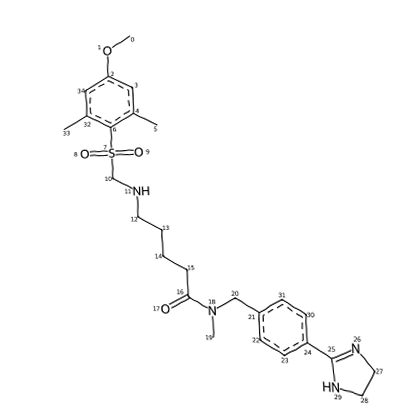 COc1cc(C)c(S(=O)(=O)CNCCCCC(=O)N(C)Cc2ccc(C3=NCCN3)cc2)c(C)c1